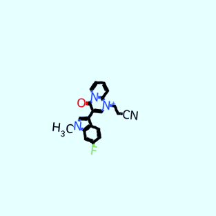 Cn1cc(-c2c[n+](CCC#N)c3ccccn3c2=O)c2ccc(F)cc21